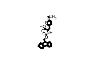 COc1ccc(CC(NC(=O)OCC2c3ccccc3-c3ccccc32)C(=O)O)cn1